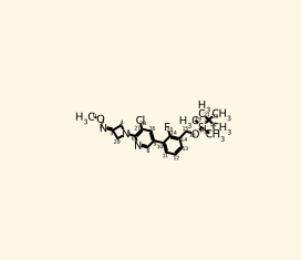 CON=C1CN(c2ncc(-c3cccc(CO[Si](C)(C)C(C)(C)C)c3F)cc2Cl)C1